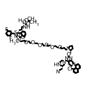 CN(CCOCCOCCOCCOCCOCCOCCCN1CCC[C@H]1COc1nc2c(c(N3CCN[C@@H](CC#N)C3)n1)CCN(c1cccc3cccc(Cl)c13)C2)C(=O)N1N=C(c2cc(F)ccc2F)S[C@@]1(CCCNC(=O)OC(C)(C)C)c1ccccc1